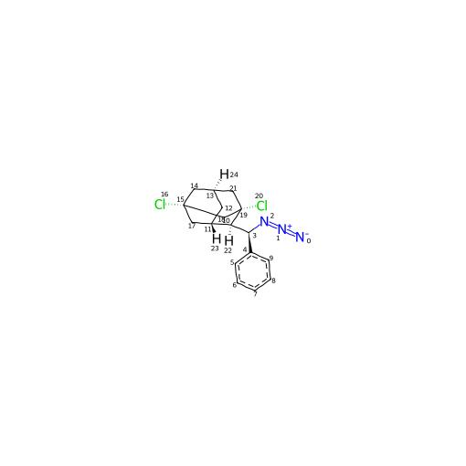 [N-]=[N+]=N[C@@H](c1ccccc1)[C@H]1[C@H]2C[C@H]3C[C@](Cl)(C2)C[C@@]1(Cl)C3